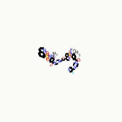 Cc1cc(C(=O)N2CCN(CC3COC(c4ccnc5c(S(=O)(=O)Nc6ccc(C(=O)N7CCN(Cc8ccncc8F)CC7)cc6C)cccc45)C3)CC2)ccc1NS(=O)(=O)c1cccc2cccnc12